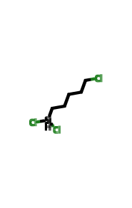 ClCCCCC[SiH](Cl)Cl